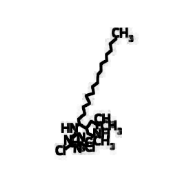 CCCCCCCCCCCCCCCCCC(Nc1nc(Cl)nc(Cl)n1)C1CC(C)(C)NC(C)(C)C1